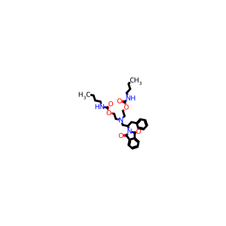 CCCCNC(=O)OCCN(CCOC(=O)NCCCC)CC(Cc1ccccc1)N1C(=O)c2ccccc2C1=O